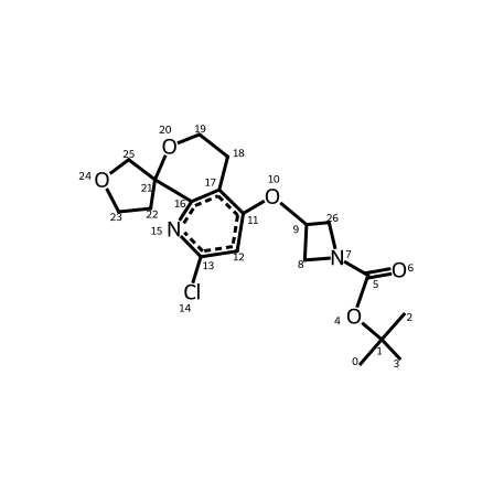 CC(C)(C)OC(=O)N1CC(Oc2cc(Cl)nc3c2CCOC32CCOC2)C1